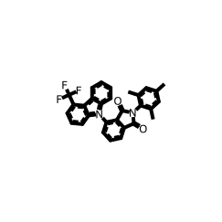 Cc1cc(C)c(N2C(=O)c3cccc(-n4c5ccccc5c5c(C(F)(F)F)cccc54)c3C2=O)c(C)c1